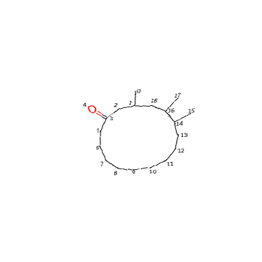 CC1CC(=O)CCCCCCCCCC(C)C(C)C1